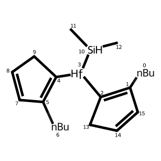 CCCCC1=[C]([Hf]([C]2=C(CCCC)C=CC2)[SiH](C)C)CC=C1